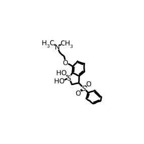 CN(C)CCOc1cccc2c1S(O)(O)CC2S(=O)(=O)c1ccccc1